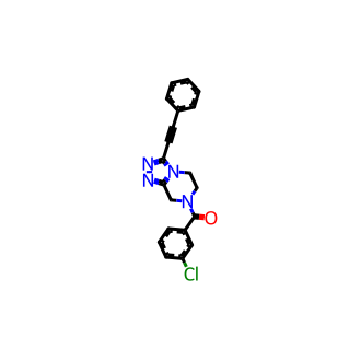 O=C(c1cccc(Cl)c1)N1CCn2c(C#Cc3ccccc3)nnc2C1